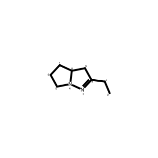 CCC1=NN2CCCC2C1